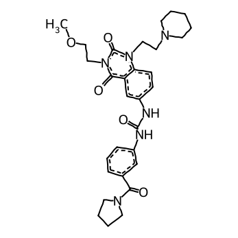 COCCn1c(=O)c2cc(NC(=O)Nc3cccc(C(=O)N4CCCC4)c3)ccc2n(CCN2CCCCC2)c1=O